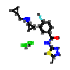 Cc1nnc(NC(=O)c2ccc(F)c([C@@H]3C[C@H]3NCC3CC3)c2)s1.Cl.Cl